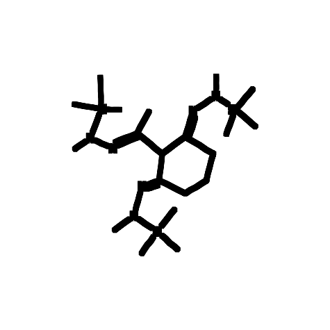 CC(=NN(C)[Si](C)(C)C)C1C(=NN(C)[Si](C)(C)C)CCCC1=NN(C)[Si](C)(C)C